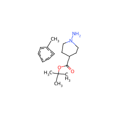 CC(C)(C)OC(=O)C1CCN(N)CC1.Cc1ccccc1